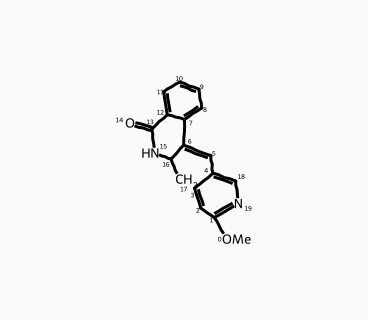 COc1ccc(C=C2c3ccccc3C(=O)NC2C)cn1